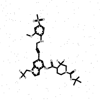 COc1cc(S(C)(=O)=O)ccc1NCC#Cc1cc(NC(=O)C2CCN(C(=O)OC(C)(C)C)CC2(F)F)c2ccn(CC(F)(F)F)c2c1